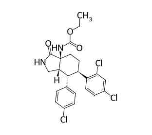 CCOC(=O)N[C@@]12CC[C@@H](c3ccc(Cl)cc3Cl)[C@H](c3ccc(Cl)cc3)[C@@H]1CNC2=O